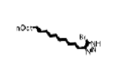 CCCCCCCCC=CCCCCCCCCc1nn[nH]c1Br